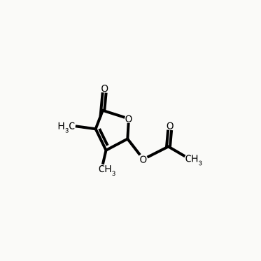 CC(=O)OC1OC(=O)C(C)=C1C